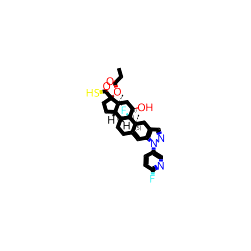 CCC(=O)O[C@]1(C(=O)S)CC[C@H]2[C@@H]3CCC4=Cc5c(cnn5-c5ccc(F)nc5)C[C@]4(C)[C@@]3(F)[C@@H](O)C[C@@]21C